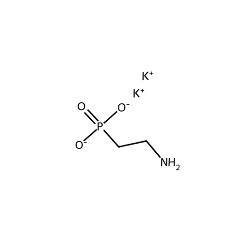 NCCP(=O)([O-])[O-].[K+].[K+]